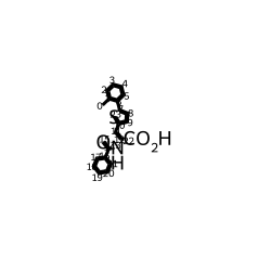 Cc1ccccc1-c1ccc(/C=C(/NC(=O)c2ccccc2)C(=O)O)s1